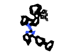 CC1(C)c2ccccc2-c2c1ccc1c2c2ccccc2n1-c1nc(C2=CC=C(C3=CC=CCC3)CC2)c2ccccc2n1